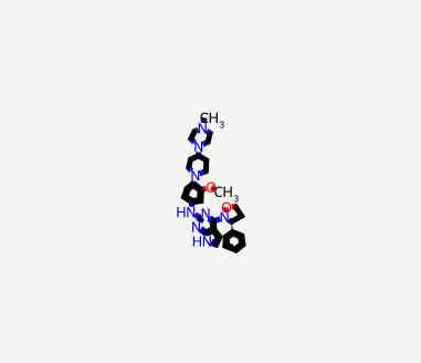 COc1cc(Nc2nc(N3OCC[C@@H]3c3ccccc3)c3cc[nH]c3n2)ccc1N1CCC(N2CCN(C)CC2)CC1